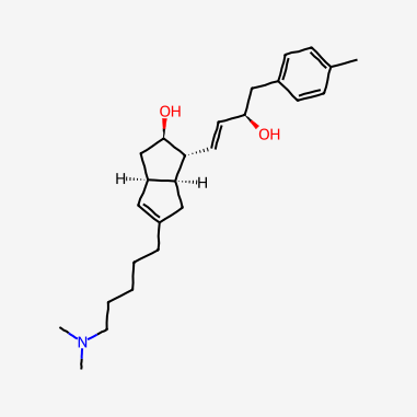 Cc1ccc(C[C@@H](O)/C=C/[C@@H]2[C@H]3CC(CCCCCN(C)C)=C[C@H]3C[C@H]2O)cc1